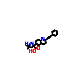 CC(C)(C)C[C@](N)(C(=O)O)c1ccc2nc(C#Cc3ccccc3)ccc2c1